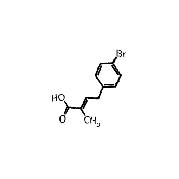 C/C(=C\Cc1ccc(Br)cc1)C(=O)O